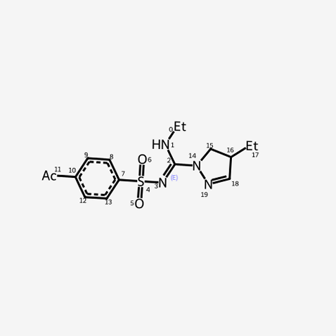 CCN/C(=N\S(=O)(=O)c1ccc(C(C)=O)cc1)N1CC(CC)C=N1